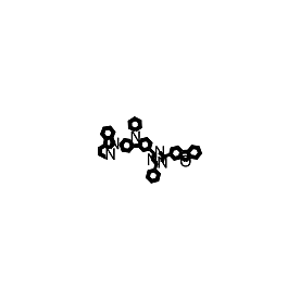 c1ccc(-c2nc(-c3ccc4c(c3)oc3ccccc34)nc(-c3ccc4c(c3)c3ccc(-n5c6ccccc6c6cccnc65)cc3n4-c3ccccc3)n2)cc1